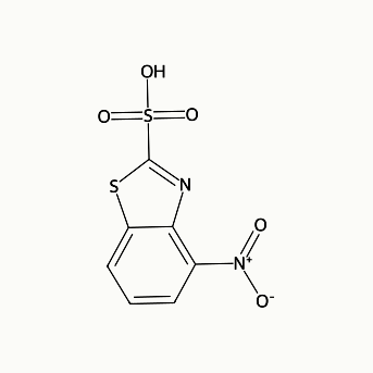 O=[N+]([O-])c1cccc2sc(S(=O)(=O)O)nc12